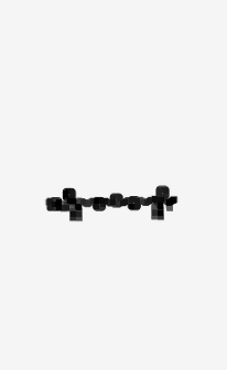 C=C(C)C(=O)NCCCOCCOCCOCCCNC(=O)C(C)(C)C